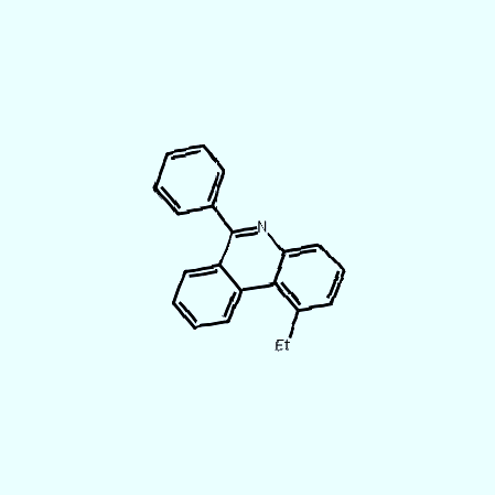 CCc1cccc2nc(-c3ccccc3)c3ccccc3c12